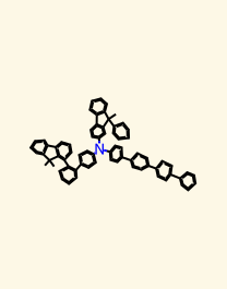 CC1(C)c2ccccc2-c2cccc(-c3ccccc3-c3ccc(N(c4ccc(-c5ccc(-c6ccc(-c7ccccc7)cc6)cc5)cc4)c4ccc5c(c4)C(C)(c4ccccc4)c4ccccc4-5)cc3)c21